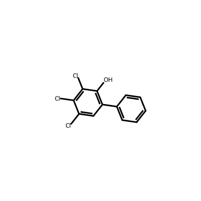 Oc1c(-c2ccccc2)cc(Cl)c(Cl)c1Cl